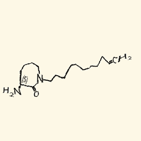 C=CCCCCCCCCN1CCCC[C@H](N)C1=O